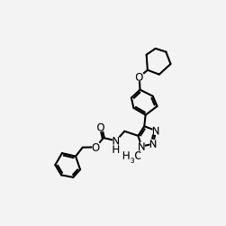 Cn1nnc(-c2ccc(OC3CCCCC3)cc2)c1CNC(=O)OCc1ccccc1